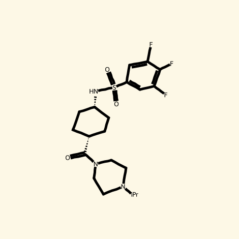 CC(C)N1CCN(C(=O)[C@H]2CC[C@@H](NS(=O)(=O)c3cc(F)c(F)c(F)c3)CC2)CC1